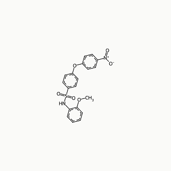 COc1ccccc1NS(=O)(=O)c1ccc(Oc2ccc([N+](=O)[O-])cc2)cc1